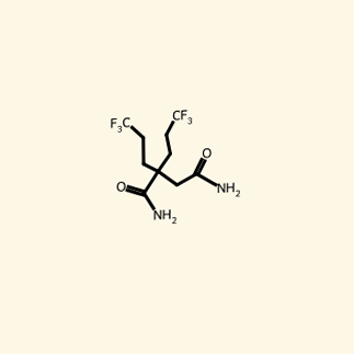 NC(=O)CC(CCC(F)(F)F)(CCC(F)(F)F)C(N)=O